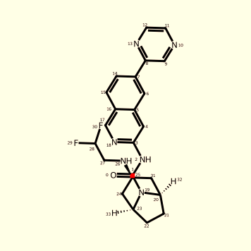 O=C(Nc1cc2cc(-c3cnccn3)ccc2cn1)N1[C@@H]2CC[C@H]1C[C@@H](NCC(F)F)C2